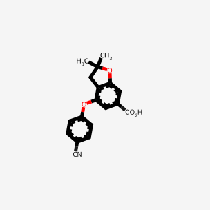 CC1(C)Cc2c(Oc3ccc(C#N)cc3)cc(C(=O)O)cc2O1